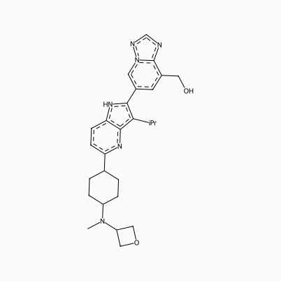 CC(C)c1c(-c2cc(CO)c3ncnn3c2)[nH]c2ccc(C3CCC(N(C)C4COC4)CC3)nc12